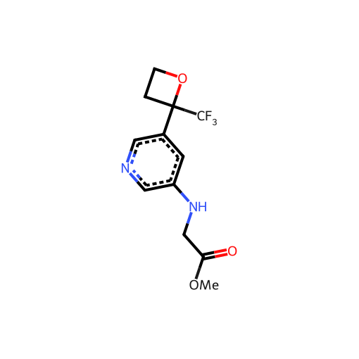 COC(=O)CNc1cncc(C2(C(F)(F)F)CCO2)c1